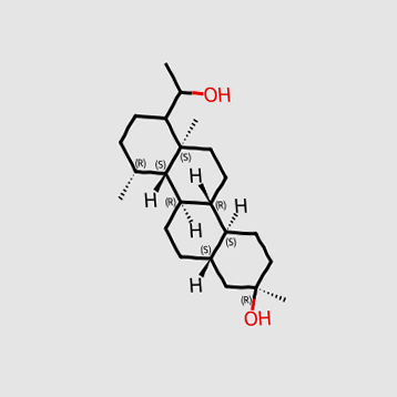 CC(O)C1CC[C@@H](C)[C@H]2[C@@H]3CC[C@H]4C[C@](C)(O)CC[C@@H]4[C@H]3CC[C@]12C